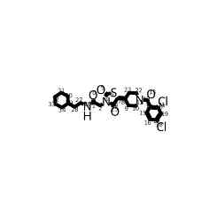 O=C(CN1C(=O)SC(=C2CCN(C(=O)c3ccc(Cl)cc3Cl)CC2)C1=O)NCCC1CCCCC1